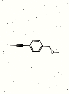 CC#Cc1ccc(COC)cc1